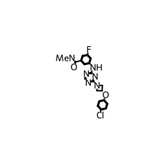 CNC(=O)c1cc(F)cc(Nc2ncnc(N3CC(Oc4ccc(Cl)cc4)C3)n2)c1